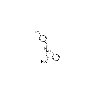 C/C(=C/C/N=C/c1ccc(C(C)C)cc1)c1ccccc1C